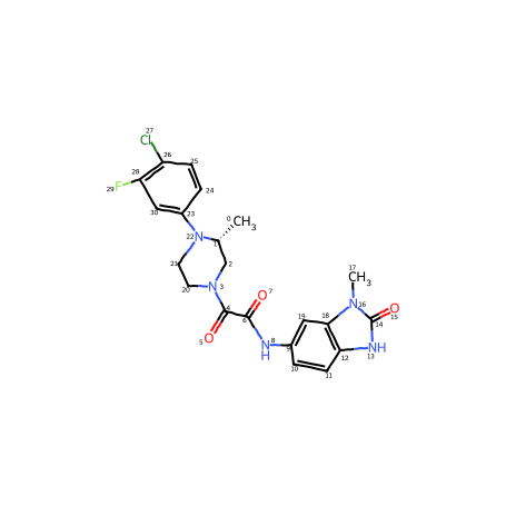 C[C@@H]1CN(C(=O)C(=O)Nc2ccc3[nH]c(=O)n(C)c3c2)CCN1c1ccc(Cl)c(F)c1